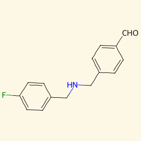 O=Cc1ccc(CNCc2ccc(F)cc2)cc1